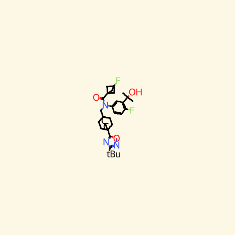 CC(C)(C)c1noc(C23CCC(CN(C(=O)C45CC(F)(C4)C5)c4ccc(F)c(C(C)(C)O)c4)(CC2)CC3)n1